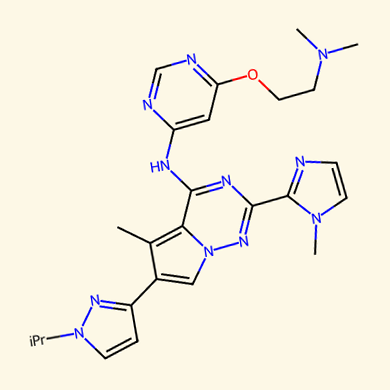 Cc1c(-c2ccn(C(C)C)n2)cn2nc(-c3nccn3C)nc(Nc3cc(OCCN(C)C)ncn3)c12